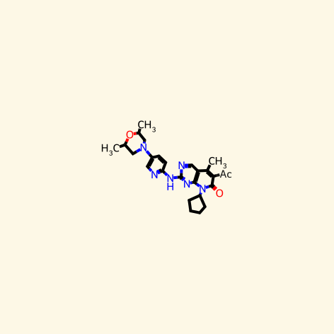 CC(=O)c1c(C)c2cnc(Nc3ccc(N4CC(C)OC(C)C4)cn3)nc2n(C2CCCC2)c1=O